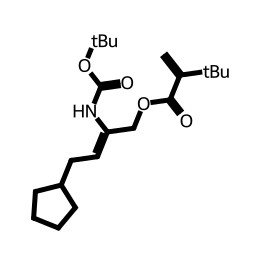 C=C(C(=O)OC/C(=C/CC1CCCC1)NC(=O)OC(C)(C)C)C(C)(C)C